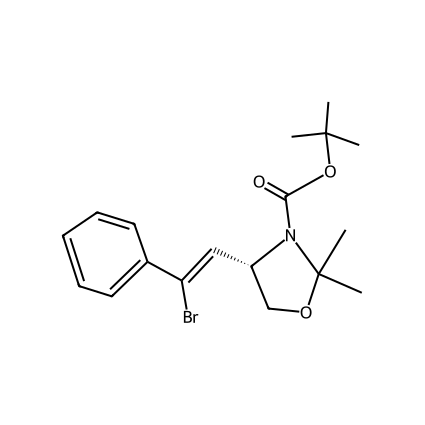 CC(C)(C)OC(=O)N1[C@@H](C=C(Br)c2ccccc2)COC1(C)C